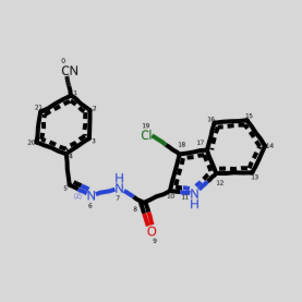 N#Cc1ccc(/C=N\NC(=O)c2[nH]c3ccccc3c2Cl)cc1